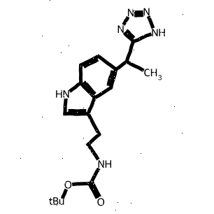 CC(c1ccc2[nH]cc(CCNC(=O)OC(C)(C)C)c2c1)c1nnn[nH]1